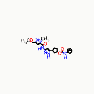 COCc1cc(C(=O)Nc2cc([C@H]3CC[C@@H](OC(=O)NC45CCC(C4)C5)C3)[nH]n2)n(C)n1